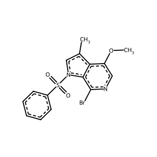 COc1cnc(Br)c2c1c(C)cn2S(=O)(=O)c1ccccc1